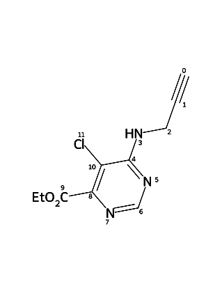 C#CCNc1ncnc(C(=O)OCC)c1Cl